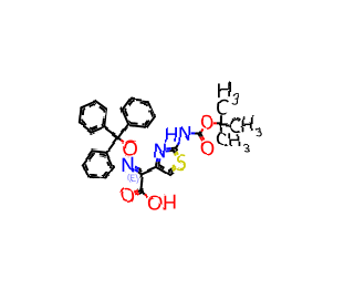 CC(C)(C)OC(=O)Nc1nc(/C(=N\OC(c2ccccc2)(c2ccccc2)c2ccccc2)C(=O)O)cs1